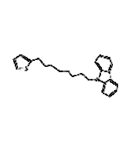 c1csc(CCCCCCCCn2c3ccccc3c3ccccc32)c1